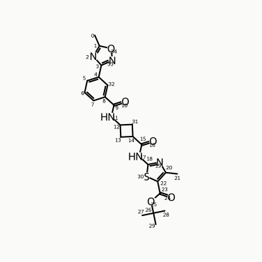 Cc1nc(-c2cccc(C(=O)NC3CC(C(=O)Nc4nc(C)c(C(=O)OC(C)(C)C)s4)C3)c2)no1